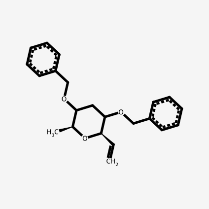 C=C[C@H]1O[C@@H](C)C(OCc2ccccc2)CC1OCc1ccccc1